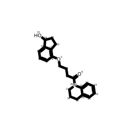 O=C(CCCOc1cccc2c1CCC2O)N1CCCc2ccccc21